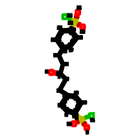 O=C(CCc1ccc(S(=O)(=O)Cl)cc1)CCc1ccc(S(=O)(=O)Cl)cc1